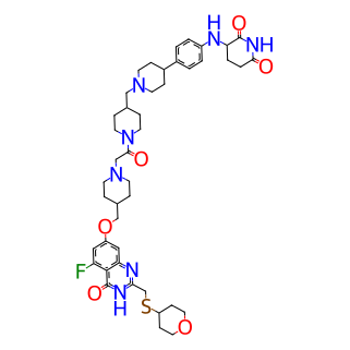 O=C1CCC(Nc2ccc(C3CCN(CC4CCN(C(=O)CN5CCC(COc6cc(F)c7c(=O)[nH]c(CSC8CCOCC8)nc7c6)CC5)CC4)CC3)cc2)C(=O)N1